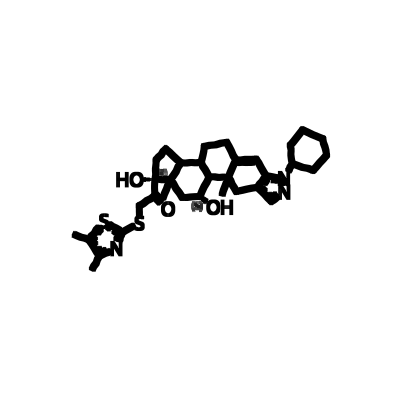 Cc1nc(SCC(=O)[C@@]2(O)CCC3C4CCC5=Cc6c(cnn6C6CCCCC6)CC5(C)C4[C@@H](O)CC32C)sc1C